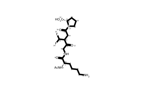 CC(=O)N[C@@H](CCCCN)C(=O)NCC(=O)C(CC(=O)N1CCC[C@H]1C(=O)O)C(F)F